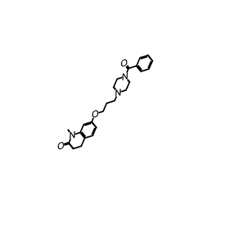 CN1C(=O)CCc2ccc(OCCCN3CCN(C(=O)c4ccccc4)CC3)cc21